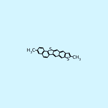 Cc1ccc2c(ccc3c4cc5cc6sc(C)cc6cc5cc4sc23)c1